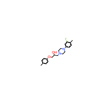 Cc1ccc(OCC(O)CN2CCN(c3ccc(C)c(F)c3)CC2)cc1